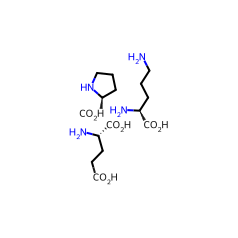 NCCC[C@H](N)C(=O)O.N[C@@H](CCC(=O)O)C(=O)O.O=C(O)[C@@H]1CCCN1